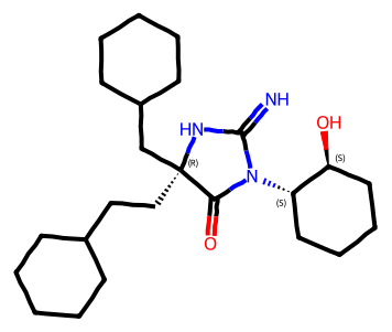 N=C1N[C@](CCC2CCCCC2)(CC2CCCCC2)C(=O)N1[C@H]1CCCC[C@@H]1O